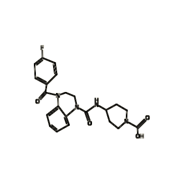 O=C(O)N1CCC(NC(=O)N2CCN(C(=O)c3ccc(F)cc3)c3ccccc32)CC1